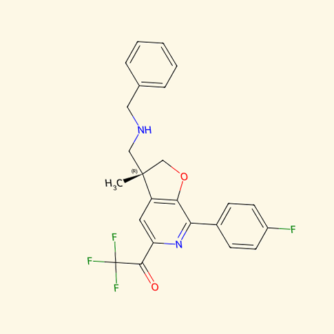 C[C@@]1(CNCc2ccccc2)COc2c1cc(C(=O)C(F)(F)F)nc2-c1ccc(F)cc1